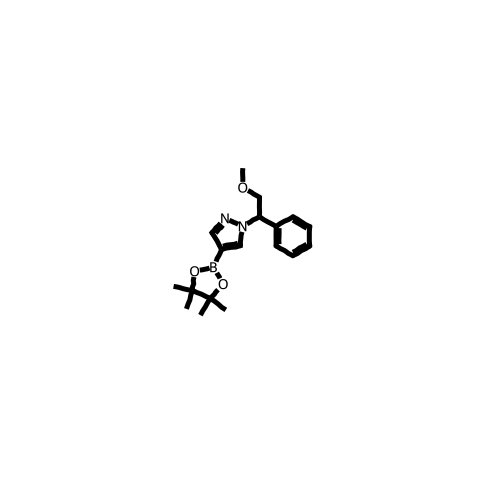 COCC(c1ccccc1)n1cc(B2OC(C)(C)C(C)(C)O2)cn1